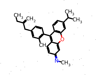 C=C(CC)Cc1ccc(-c2c3cc/c(=N/C)cc-3oc3cc(C(C)C)ccc23)c(C)c1